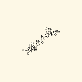 CC(C)(C)OC(=O)N=C(NCCc1ccc(NC(=O)c2cnc(C3=CCN(C(=NC(=O)OC(C)(C)C)NC(=O)OC(C)(C)C)CC3)s2)cc1)NC(=O)OC(C)(C)C